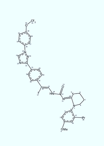 COc1ccc(N2CCCS/C2=N\C(=O)N/C=C(\F)c2ccc(-c3ncn(-c4ccc(OC(F)(F)F)cc4)n3)cc2)c(C(C)C)c1